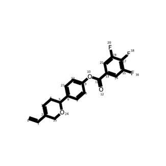 C=CC1=CCC(c2ccc(OC(=O)c3cc(F)c(F)c(F)c3)cc2)OC1